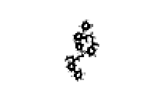 C\C=C/C(=C\C=C\N(c1ccccc1)c1cccc(/C(C)=C/C=C\c2c(C)c3ccccc3n2-c2ccccc2)c1)c1cccc(-c2ccccc2)c1